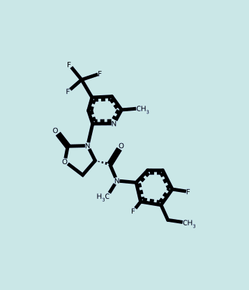 CCc1c(F)ccc(N(C)C(=O)[C@@H]2COC(=O)N2c2cc(C(F)(F)F)cc(C)n2)c1F